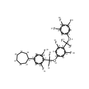 Fc1cc(OC(F)(F)c2c(F)cc(OC(F)(F)c3c(F)cc(C4CCCCCC4)cc3F)cc2F)cc(F)c1F